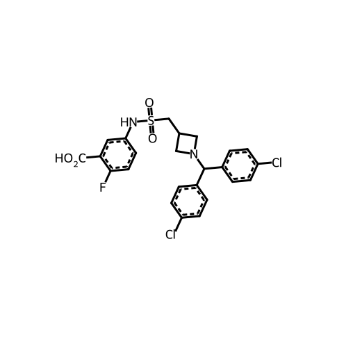 O=C(O)c1cc(NS(=O)(=O)CC2CN(C(c3ccc(Cl)cc3)c3ccc(Cl)cc3)C2)ccc1F